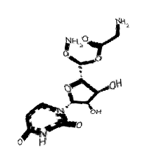 NCC(=O)OC(ON)[C@H]1O[C@@H](n2ccc(=O)[nH]c2=O)[C@H](O)[C@@H]1O